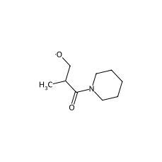 CC(C[O])C(=O)N1CCCCC1